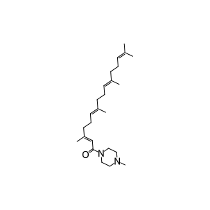 CC(C)=CCC/C(C)=C/CC/C(C)=C/CC/C(C)=C/C(=O)N1CCN(C)CC1